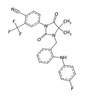 CC1(C)C(=O)N(c2ccc(C#N)c(C(F)(F)F)c2)C(=O)N1Cc1ccccc1Nc1ccc(F)cc1